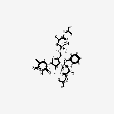 Cc1cn([C@H]2O[C@@H](COP(=O)(O)N[C@@H](C)C(=O)OC(C)C)[C@H](P(=O)(N[C@@H](C)C(=O)OC(C)C)Oc3ccccc3)[C@H]2F)c(=O)[nH]c1=O